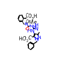 CON(Cc1ccccc1CC(=O)O)C(=O)NC(=N)Nc1c(C)nn(Cc2ccccc2)c1C(=O)O